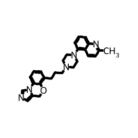 Cc1ccc2c(N3CCN(CCCc4cccc5c4OCc4cncn4-5)CC3)cccc2n1